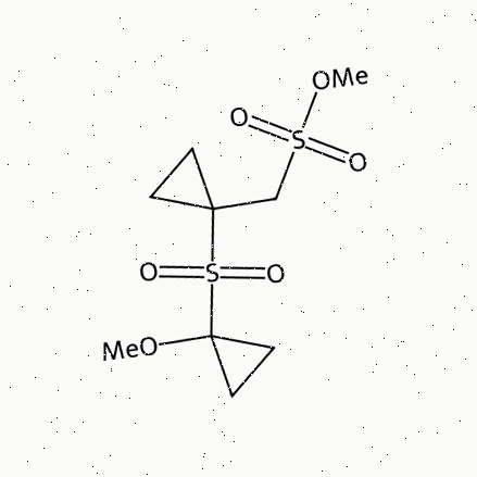 COC1(S(=O)(=O)C2(CS(=O)(=O)OC)CC2)CC1